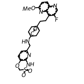 COc1ccc2ncc(F)c(CCC34CCC(NCc5ccc6c(n5)NS(=O)(=O)CO6)(CC3)CO4)c2n1